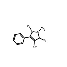 CCN1C(c2ccccc2)=C(C#N)C(N)N1N